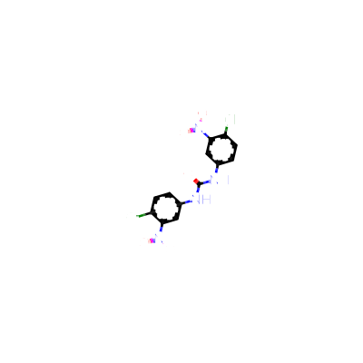 O=C(Nc1ccc(Cl)c([N+](=O)[O-])c1)Nc1ccc(Cl)c([N+](=O)[O-])c1